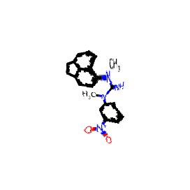 CN(C(=N)N(C)c1ccc2c3c(cccc13)C=C2)c1cccc([N+](=O)[O-])c1